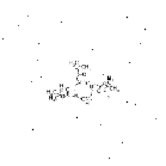 CC(C)OC(=O)CN1CCN(CC(=O)OC(C)(C)C)CCNCCN(CC(=O)OC(C)(C)C)CC1